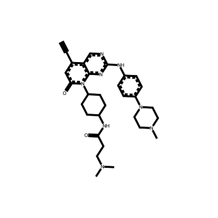 C#Cc1cc(=O)n(C2CCC(NC(=O)CCN(C)C)CC2)c2nc(Nc3ccc(N4CCN(C)CC4)cc3)ncc12